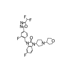 O=c1n(Cc2ccc(-c3nnc(C(F)F)o3)cc2F)c2cc(F)ccc2n1C1CCN(C2CCOCC2)CC1